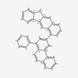 c1ccc(-c2nc(-c3cccc4cc5oc6ccccc6c5cc34)nc3c2ccc2ccccc23)cc1